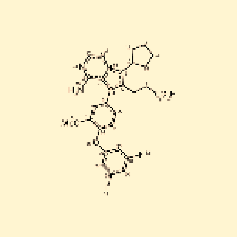 COc1cc(-c2c(CCC(=O)O)c(C3CCCC3)n3ncnc(N)c23)ccc1Oc1cc(F)cc(F)c1